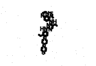 CCc1cc(Nc2ncc(CC)c(Nc3ccc4nccnc4c3N(C)SC)n2)ccc1N1CCC(N2CCN(C)CC2)CC1